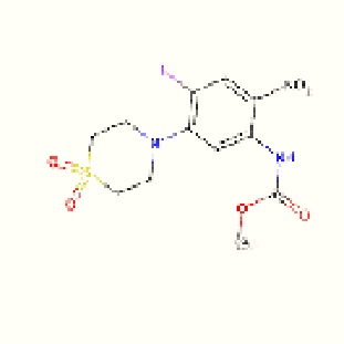 CC(C)(C)OC(=O)Nc1cc(N2CCS(=O)(=O)CC2)c(I)cc1[N+](=O)[O-]